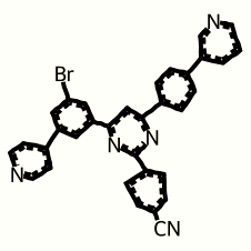 N#Cc1ccc(-c2nc(-c3ccc(-c4cccnc4)cc3)cc(-c3cc(Br)cc(-c4ccncc4)c3)n2)cc1